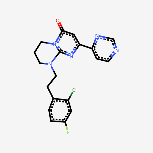 O=c1cc(-c2ccncn2)nc2n1CCCN2CCc1ccc(F)cc1Cl